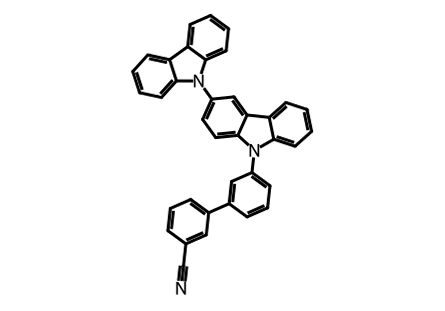 N#Cc1cccc(-c2cccc(-n3c4ccccc4c4cc(-n5c6ccccc6c6ccccc65)ccc43)c2)c1